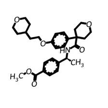 COC(=O)c1ccc([C@H](C)NC(=O)C2(c3ccc(OCCC4CCOCC4)cc3)CCOCC2)cc1